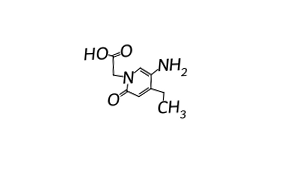 CCc1cc(=O)n(CC(=O)O)cc1N